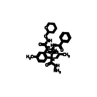 CCC[C@](C(=O)NN)(c1ccc(C)cc1[C@H](CNC(=O)c1ccccc1)C(=O)NOC1CCCCO1)S(C)(=O)=O